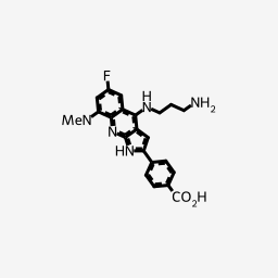 CNc1cc(F)cc2c(NCCCN)c3cc(-c4ccc(C(=O)O)cc4)[nH]c3nc12